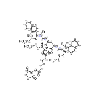 CCC(/C=C/C1=CC(=C/C=C2/N(CCCS(=O)(=O)O)c3ccc4ccccc4c3C2(C)C)/CC(C(=O)NCCCCCC(=O)ON2C(=O)CCC2=O)(C(=O)NCCS(=O)(=O)O)C1)=[N+](/CCCS(=O)(=O)O)c1ccc2ccccc2c1CC